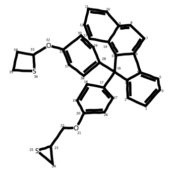 c1ccc2c(c1)-c1ccc3ccccc3c1C2(c1ccc(OCC2CS2)cc1)c1ccc(OC2CCS2)cc1